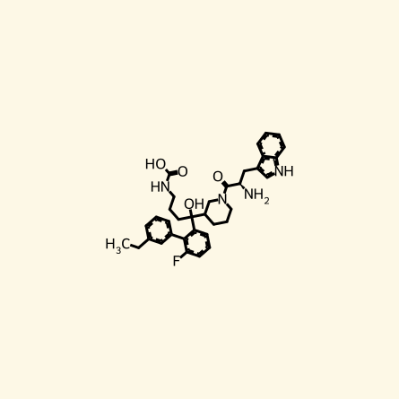 CCc1cccc(-c2c(F)cccc2C(O)(CCCNC(=O)O)C2CCCN(C(=O)[C@H](N)Cc3c[nH]c4ccccc34)C2)c1